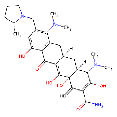 B=C1C(C(N)=O)=C(O)[C@@H](N(C)C)[C@@H]2C[C@@H]3Cc4c(c(O)cc(CN5CCC[C@H]5C)c4N(C)C)C(=O)C3=C(O)[C@]12O